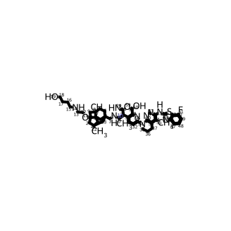 C/C(NCC12CCC3(C)CC4(OCCNCCCCO)CC(C)(C1)CC34C2)=C(/C=N)c1ccc(N2CCCc3c2nnc(Nc2nc4cccc(F)c4s2)c3C)nc1C(=O)O